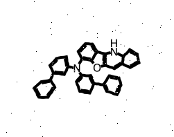 C1=CC2=Cc3oc4c(N(c5cccc(-c6ccccc6)c5)c5cccc(-c6ccccc6)c5)cccc4c3NC2C=C1